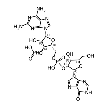 Nc1nc(N)c2ncn([C@@H]3O[C@H](COP(=O)(O)O[C@@H]4[C@H](O)[C@@H](CO)O[C@H]4n4cnc5c(=O)[nH]cnc54)[C@@H](O[PH](=O)O)[C@H]3O)c2n1